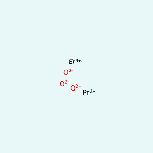 [Er+3].[O-2].[O-2].[O-2].[Pr+3]